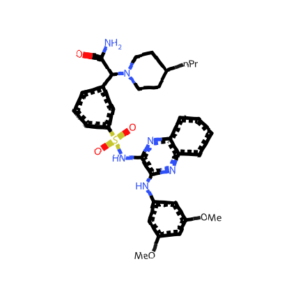 CCCC1CCN(C(C(N)=O)c2cccc(S(=O)(=O)Nc3nc4ccccc4nc3Nc3cc(OC)cc(OC)c3)c2)CC1